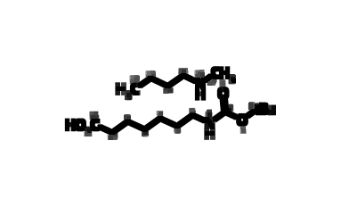 CC(C)(C)OC(=O)NCCCCCCC(=O)O.CCCCNC